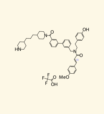 COc1ccc(/C=C/C(=O)N(CCc2ccc(O)cc2)Cc2cccc(-c3cccc(C(=O)N4CCC(CCCC5CCNCC5)CC4)c3)c2)cc1.O=C(O)C(F)(F)F